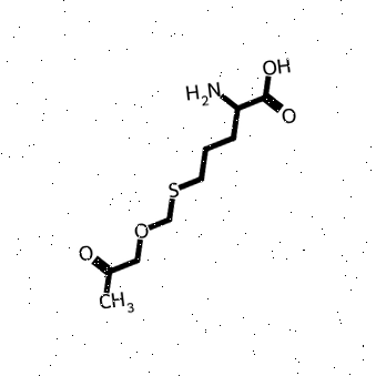 CC(=O)COCSCCCC(N)C(=O)O